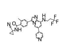 Cc1cc(-c2cnc3c(NCCC(F)(F)F)cc(-c4ccncc4)cn23)ccc1C(=O)NC1(C#N)CC1